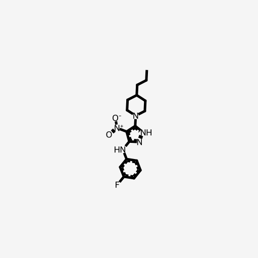 CCCC1CCN(c2[nH]nc(Nc3cccc(F)c3)c2[N+](=O)[O-])CC1